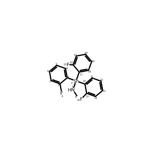 C[NH][Sn]([c]1ccccc1F)([c]1ccccc1F)[c]1ccccc1F